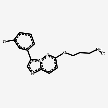 CCNCCCOc1ccc2ncc(-c3cccc(Cl)c3)n2n1